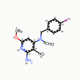 CCCCOc1cc(N(C=O)Cc2ccc(I)cc2)c(N=O)c(N)n1